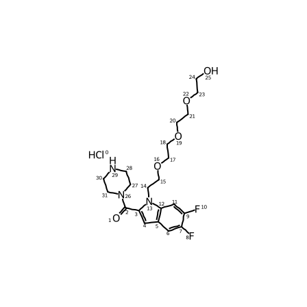 Cl.O=C(c1cc2cc(F)c(F)cc2n1CCOCCOCCOCCO)N1CCNCC1